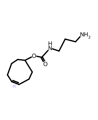 NCCCNC(=O)OC1CC/C=C\CCC1